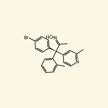 C/C(=N/O)[C@](c1ccc(Br)cc1)(c1ccnc(C)c1)c1ccccc1C